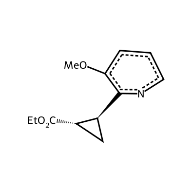 CCOC(=O)[C@H]1C[C@@H]1c1ncccc1OC